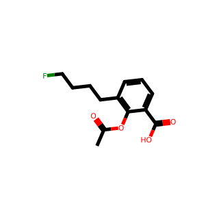 CC(=O)Oc1c(CCCCF)cccc1C(=O)O